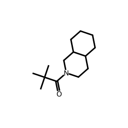 CC(C)(C)C(=O)N1CCC2CCCCC2C1